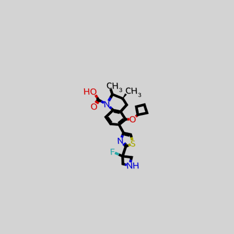 CC1[C@@H](C)Cc2c(ccc(-c3csc(C4(F)CNC4)n3)c2OC2CCC2)N1C(=O)O